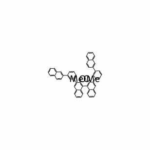 COc1c(-c2cccc(-c3ccc4ccccc4c3)c2)cc2ccccc2c1-c1c(OC)c(-c2cccc(-c3ccc4ccccc4c3)c2)cc2ccccc12